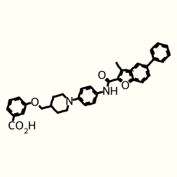 Cc1c(C(=O)Nc2ccc(N3CCC(COc4cccc(C(=O)O)c4)CC3)cc2)oc2ccc(-c3ccccc3)cc12